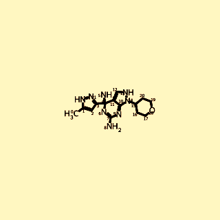 Cc1cc(C2(N)N=C(N)N=C3C2=CNN3C2CCOCC2)n[nH]1